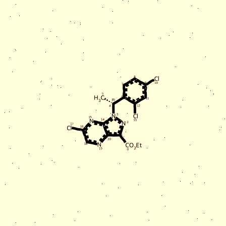 CCOC(=O)c1nn([C@H](C)c2ccc(Cl)cc2Cl)c2nc(Cl)cnc12